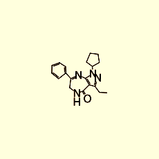 CCc1nn(C2CCCC2)c2c1C(=O)NCC(c1ccccc1)=N2